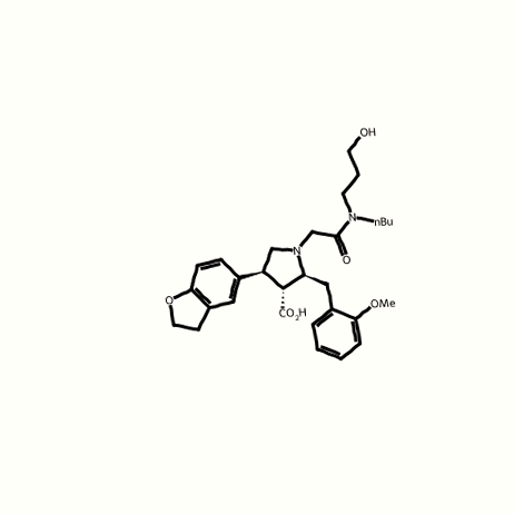 CCCCN(CCCO)C(=O)CN1C[C@H](c2ccc3c(c2)CCO3)[C@@H](C(=O)O)[C@@H]1Cc1ccccc1OC